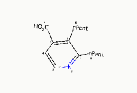 CCCCCc1nccc(C(=O)O)c1CCCCC